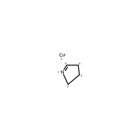 C1=NCCC1.[Cu]